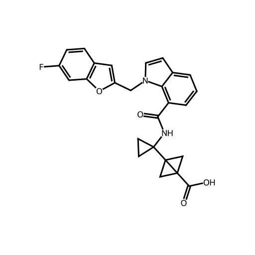 O=C(NC1(C23CC2(C(=O)O)C3)CC1)c1cccc2ccn(Cc3cc4ccc(F)cc4o3)c12